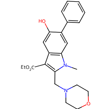 CCOC(=O)c1c(CN2CCOCC2)n(C)c2cc(-c3ccccc3)c(O)cc12